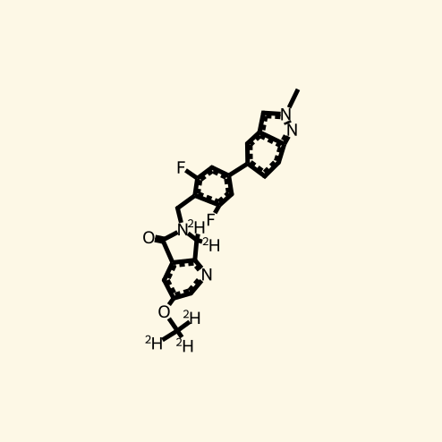 [2H]C([2H])([2H])Oc1cnc2c(c1)C(=O)N(Cc1c(F)cc(-c3ccc4nn(C)cc4c3)cc1F)C2([2H])[2H]